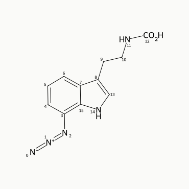 [N-]=[N+]=Nc1cccc2c(CCNC(=O)O)c[nH]c12